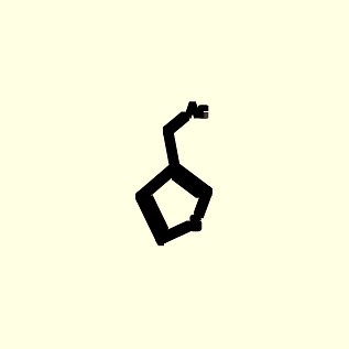 CC(=O)Cc1c[c]sc1